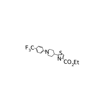 CCOC(=O)c1csc(C2CCN(c3ccc(C(F)(F)F)cc3)CC2)n1